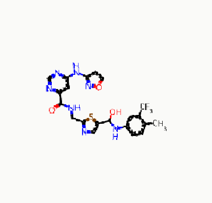 Cc1ccc(NC(O)c2cnc(CNC(=O)c3cc(Nc4ccon4)ncn3)s2)cc1C(F)(F)F